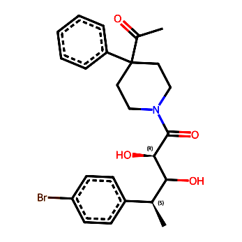 CC(=O)C1(c2ccccc2)CCN(C(=O)[C@H](O)C(O)[C@@H](C)c2ccc(Br)cc2)CC1